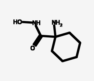 NC1(C(=O)NO)CCCCC1